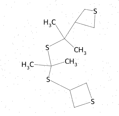 CC(C)(SC1CSC1)SC(C)(C)C1CSC1